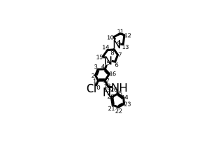 Clc1ccc(N2CCC(N3CCCC3)CC2)cc1-c1nc2ccccc2[nH]1